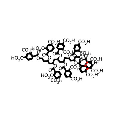 CCC(CC(CC(CC(CC(CC(CC(CCOC(=O)c1ccc(C(=O)O)cc1C(=O)O)OC(=O)c1ccc(C(=O)O)cc1C(=O)O)OC(=O)c1ccc(C(=O)O)cc1C(=O)O)OC(=O)c1ccc(C(=O)O)cc1C(=O)O)OC(=O)c1ccc(C(=O)O)cc1C(=O)O)OC(=O)c1ccc(C(=O)O)cc1C(=O)O)OC(=O)c1ccc(C(=O)O)cc1C(=O)O)OC(=O)c1ccc(C(=O)O)cc1C(=O)O